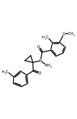 COc1cccc(C(=O)N(N)C2(C(=O)c3cccc(C)c3)CC2)c1C